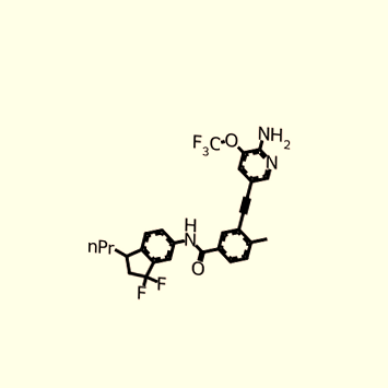 CCCC1CC(F)(F)c2cc(NC(=O)c3ccc(C)c(C#Cc4cnc(N)c(OC(F)(F)F)c4)c3)ccc21